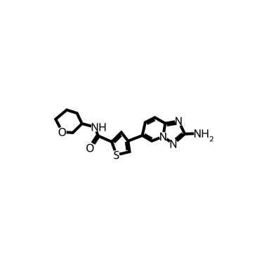 Nc1nc2ccc(-c3csc(C(=O)NC4CCCOC4)c3)cn2n1